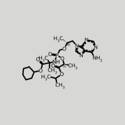 CC(C)OC(=O)[C@H](C)OP(=O)(CO[C@H](C)Cn1cnc2c(N)ncnc21)NC(C)(C)C(=O)OC1CCCCC1